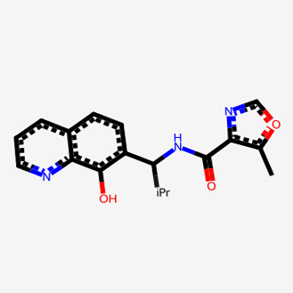 Cc1ocnc1C(=O)NC(c1ccc2cccnc2c1O)C(C)C